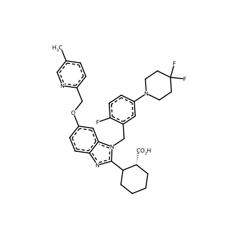 Cc1ccc(COc2ccc3nc(C4CCCC[C@H]4C(=O)O)n(Cc4cc(N5CCC(F)(F)CC5)ccc4F)c3c2)nc1